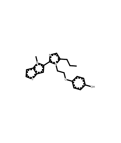 CCCc1cnc(-c2cc3sccc3n2C)n1CCOc1ccc(O)cc1